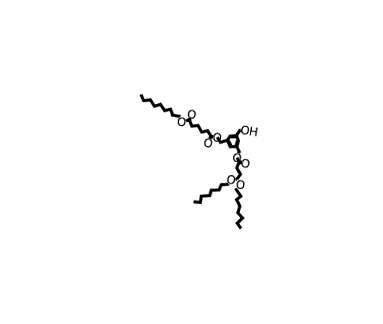 CCCCCCCCCOC(=O)CCCCC(=O)OCc1cc(CO)cc(COC(=O)CCC(OCCCCCCCC)OCCCCCCCC)c1